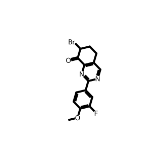 COc1ccc(-c2ncc3c(n2)C(=O)C(Br)CC3)cc1F